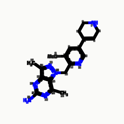 COc1cc(C2=CCNCC2)cnc1Cn1nc(C)c2nc(N)nc(C)c21